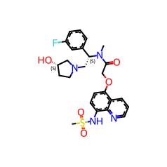 CN(C(=O)COc1ccc(NS(C)(=O)=O)c2ncccc12)[C@H](CN1CC[C@H](O)C1)c1cccc(F)c1